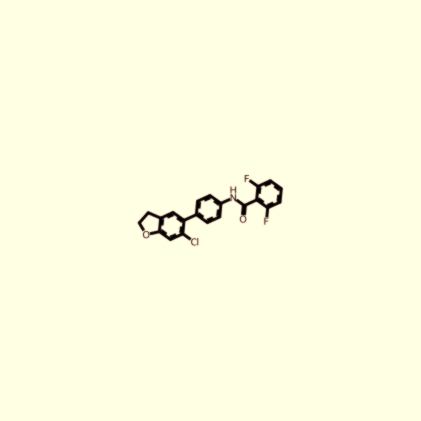 O=C(Nc1ccc(-c2cc3c(cc2Cl)OCC3)cc1)c1c(F)cccc1F